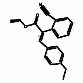 C=COC(=O)/C(=C/c1ccc(CC)cc1)c1ccccc1C#N